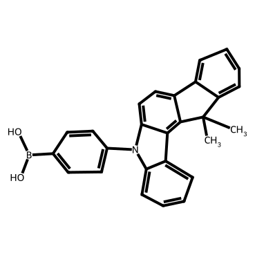 CC1(C)c2ccccc2-c2ccc3c(c21)c1ccccc1n3-c1ccc(B(O)O)cc1